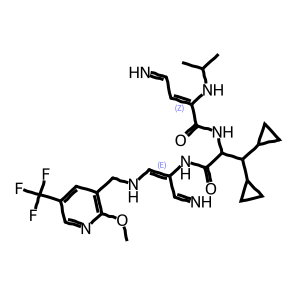 COc1ncc(C(F)(F)F)cc1CN/C=C(\C=N)NC(=O)C(NC(=O)/C(=C/C=N)NC(C)C)C(C1CC1)C1CC1